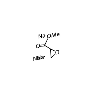 COC(=O)C1CO1.[Na].[Na].[Na]